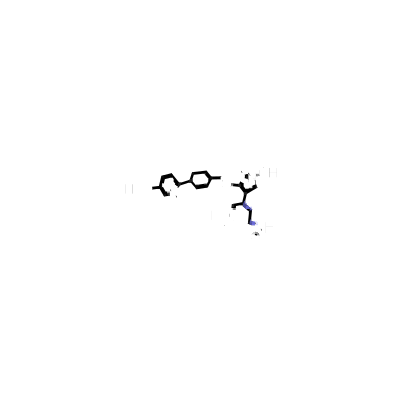 C=C/C(=C\C=[NH+]\[O-])c1cn(C)nc1OCC1=CCC(c2ccc(C)cn2)C=C1